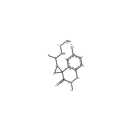 CC(NSC(C)(C)C)C1CC12C(=O)N(C)Cc1ccc(Cl)cc12